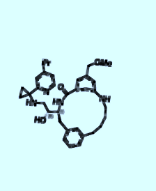 COCc1cc2cc(c1)C(=O)N[C@H]([C@H](O)CNC1(c3cc(C(C)C)ccn3)CC1)Cc1cccc(c1)CCCCN2